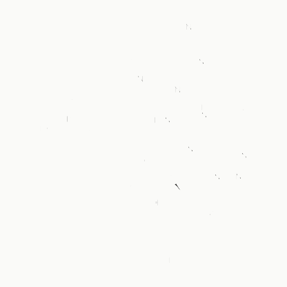 Nc1nc2c(nnn2[C@@H]2O[C@H](CO)C[C@H]2OP(O)(=S)OC[C@H]2O[C@@H](n3ccc4c(N)ncnc43)[C@@H](F)C2O[PH](O)=S)c(=O)[nH]1